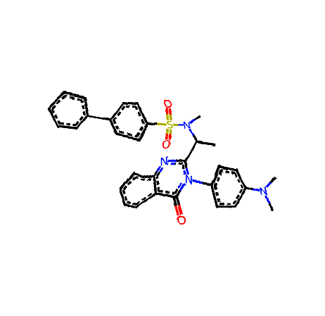 CC(c1nc2ccccc2c(=O)n1-c1ccc(N(C)C)cc1)N(C)S(=O)(=O)c1ccc(-c2ccccc2)cc1